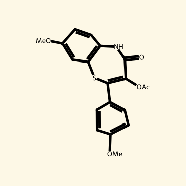 COc1ccc(C2=C(OC(C)=O)C(=O)Nc3ccc(OC)cc3S2)cc1